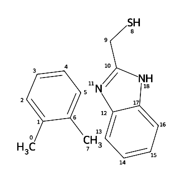 Cc1ccccc1C.SCc1nc2ccccc2[nH]1